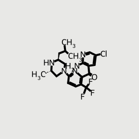 CC(C)C[C@H]1CN(c2ccc(C(F)(F)F)c(C(=O)c3cc(Cl)cnc3N)n2)C[C@H](C)N1